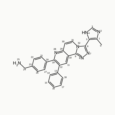 Cc1nc[nH]c1-c1nnc2c3cc(-c4ccccc4)c(-c4ccc(CN)cc4)nc3ccn12